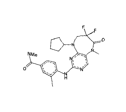 CNC(=O)c1ccc(Nc2ncc3c(n2)N(C2CCCC2)CC(F)(F)C(=O)N3C)c(C)c1